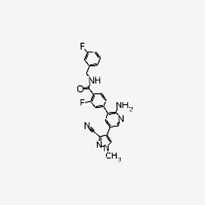 Cn1cc(-c2cnc(N)c(-c3ccc(C(=O)NCc4cccc(F)c4)c(F)c3)c2)c(C#N)n1